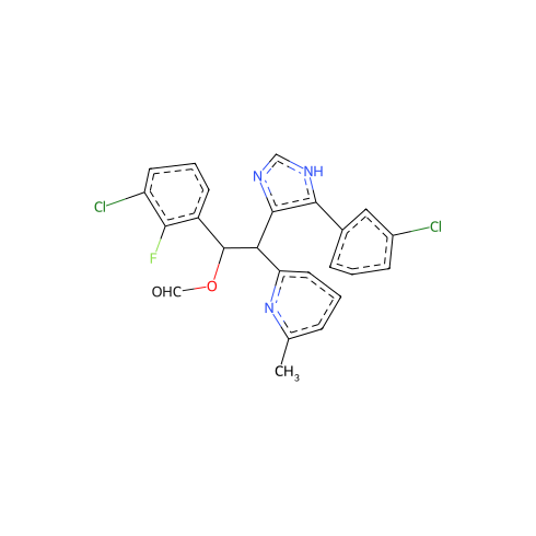 Cc1cccc(C(c2nc[nH]c2-c2cccc(Cl)c2)C(OC=O)c2cccc(Cl)c2F)n1